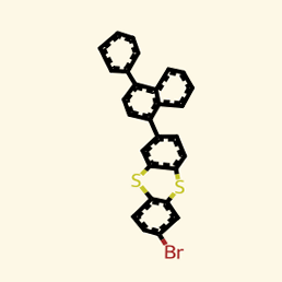 Brc1ccc2c(c1)Sc1ccc(-c3ccc(-c4ccccc4)c4ccccc34)cc1S2